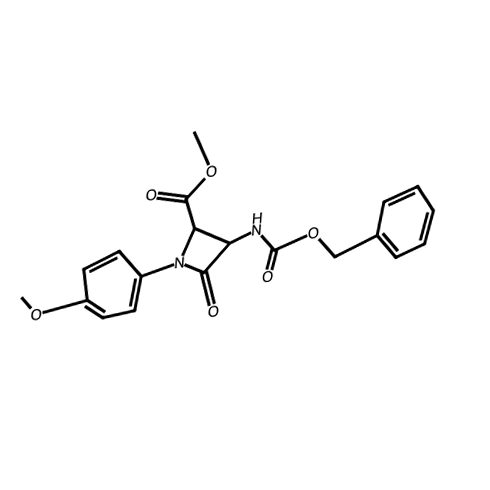 COC(=O)C1C(NC(=O)OCc2ccccc2)C(=O)N1c1ccc(OC)cc1